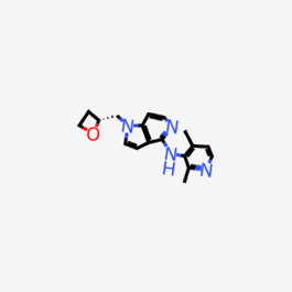 Cc1ccnc(C)c1Nc1nccc2c1ccn2C[C@H]1CCO1